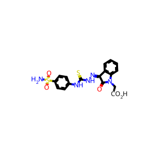 NS(=O)(=O)c1ccc(NC(=S)N/N=C2\C(=O)N(CC(=O)O)c3ccccc32)cc1